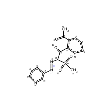 CC(=O)c1ccccc1C(=O)C(/N=N/c1cccnc1)S(C)(=O)=O